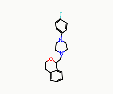 Fc1ccc(N2CCN(CC3OCCc4ccccc43)CC2)cc1